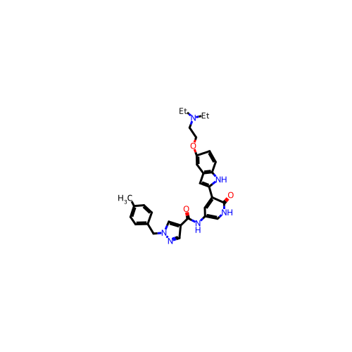 CCN(CC)CCOc1ccc2[nH]c(-c3cc(NC(=O)c4cnn(Cc5ccc(C)cc5)c4)c[nH]c3=O)cc2c1